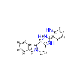 N=C1C=CC=C/C1=C(/N)NC1CCN(Cc2ccccc2)CC1